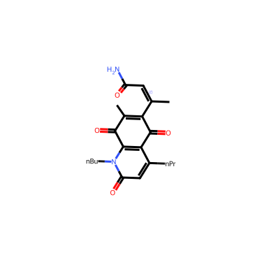 CCCCn1c2c(c(CCC)cc1=O)C(=O)C(/C(C)=C\C(N)=O)=C(C)C2=O